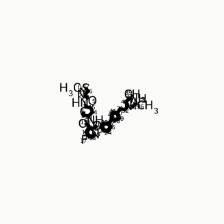 CC1=NC(C(=O)N[C@H]2CC[C@@H](NC(=O)c3cc(F)cnc3Oc3cccc(-c4ccc(CCN5C[C@@H](C)N[C@@H](C)C5)cc4)c3)CC2)CS1